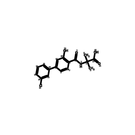 CC(C)(NC(=O)c1ncc(-c2cccc(Cl)c2)cc1O)C(=O)O